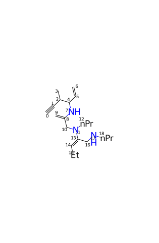 C#CC(C)C(C=C)NC(=C)CN(CCC)/C(=C/CC)CNCCC